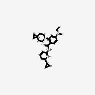 CC[SH](C)c1ccc(C(=O)Nc2cccc(C3CC3)n2)c(N2CCC3(CC2)CC3)c1